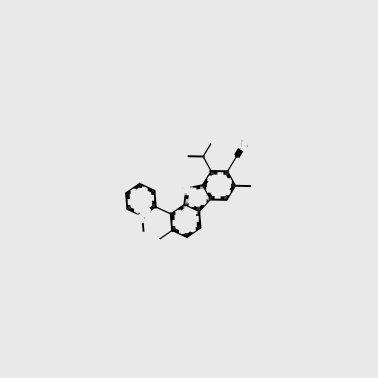 Cc1cc2c(oc3c(-c4cccc[n+]4C)c(C)ccc32)c(C(C)C)c1C#N